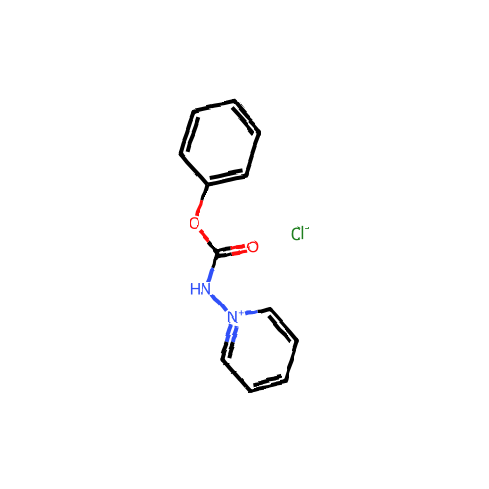 O=C(N[n+]1ccccc1)Oc1ccccc1.[Cl-]